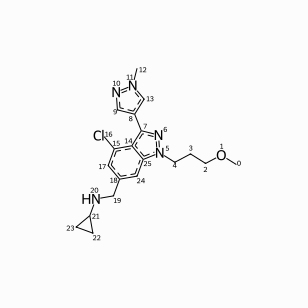 COCCCn1nc(-c2cnn(C)c2)c2c(Cl)cc(CNC3CC3)cc21